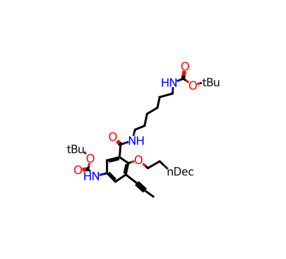 CC#Cc1cc(NC(=O)OC(C)(C)C)cc(C(=O)NCCCCCCNC(=O)OC(C)(C)C)c1OCCCCCCCCCCCC